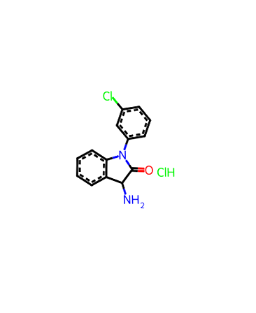 Cl.NC1C(=O)N(c2cccc(Cl)c2)c2ccccc21